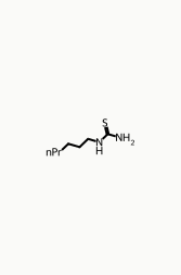 CCCCCCNC(N)=S